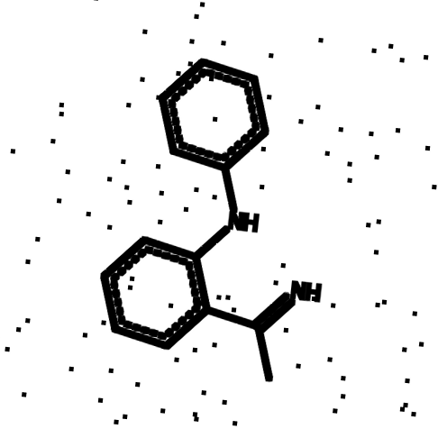 CC(=N)c1ccccc1Nc1ccccc1